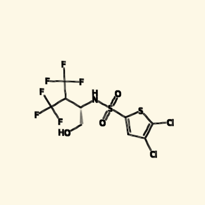 O=S(=O)(N[C@H](CO)C(C(F)(F)F)C(F)(F)F)c1cc(Cl)c(Cl)s1